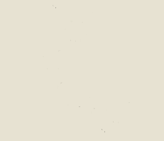 CCOc1ccc(-c2ccc(O)c3c2C[C@H]2C[C@H]4CC(O)C(C(N)=O)C(=O)[C@@]4(O)C(O)=C2C3=O)cc1CN